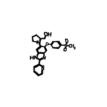 CS(=O)(=O)c1ccc(Oc2cc3nc(-c4ccccn4)[nH]c3cc2N2CCCC2CO)cc1